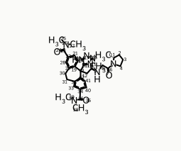 C[C@@H]1CCCN1C(=O)CN[C@@H](C)CC1(c2nnn[nH]2)c2ccc(C(=O)N(C)C)cc2CCc2cc(C(=O)N(C)C)ccc21